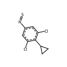 S=Nc1cc(Cl)c(C2CC2)c(Cl)c1